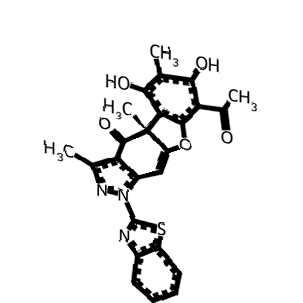 CC(=O)c1c(O)c(C)c(O)c2c1OC1=Cc3c(c(C)nn3-c3nc4ccccc4s3)C(=O)[C@@]12C